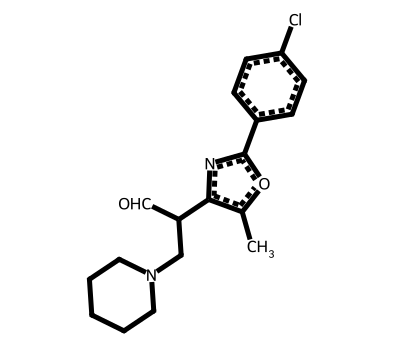 Cc1oc(-c2ccc(Cl)cc2)nc1C(C=O)CN1CCCCC1